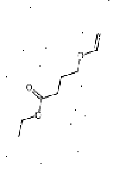 C=COCCCC(=O)OCC